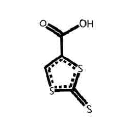 O=C(O)c1csc(=S)s1